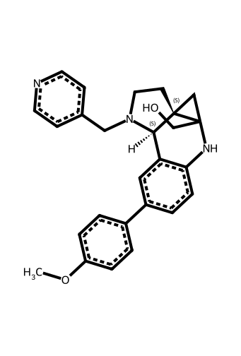 COc1ccc(-c2ccc3c(c2)[C@H]2N(Cc4ccncc4)CC[C@]24CC4(CO)N3)cc1